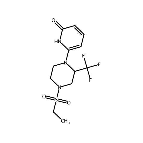 CCS(=O)(=O)N1CCN(c2cccc(=O)[nH]2)C(C(F)(F)F)C1